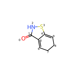 O=c1[nH]sc2c1=CCCC=2